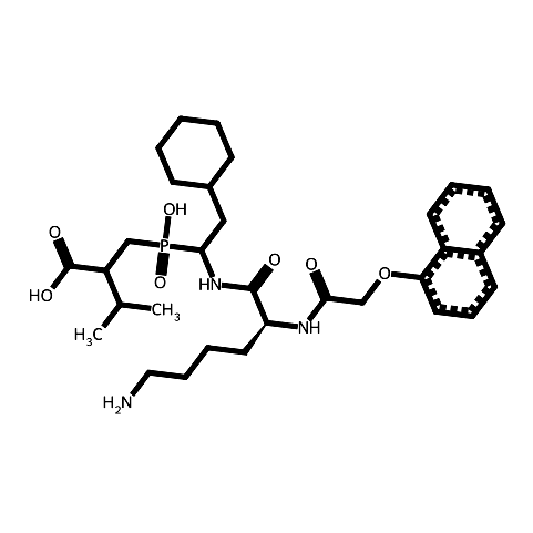 CC(C)C(CP(=O)(O)C(CC1CCCCC1)NC(=O)[C@H](CCCCN)NC(=O)COc1cccc2ccccc12)C(=O)O